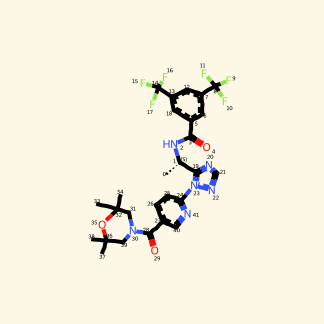 C[C@H](NC(=O)c1cc(C(F)(F)F)cc(C(F)(F)F)c1)c1ncnn1-c1ccc(C(=O)N2CC(C)(C)OC(C)(C)C2)cn1